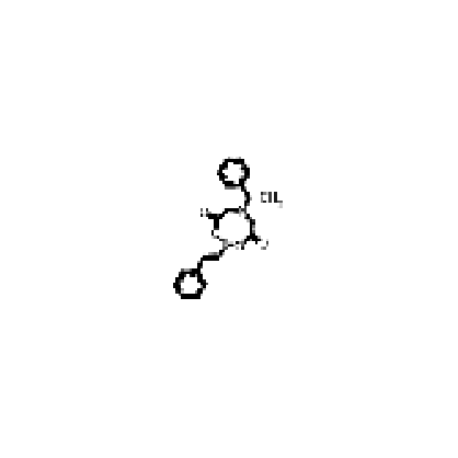 C[C@@H](c1ccccc1)N1CC(=O)OB(/C=C/c2ccccc2)OC(=O)C1